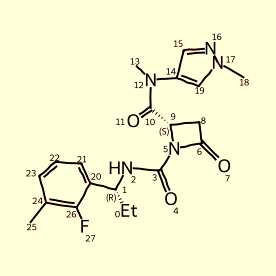 CC[C@@H](NC(=O)N1C(=O)C[C@H]1C(=O)N(C)c1cnn(C)c1)c1cccc(C)c1F